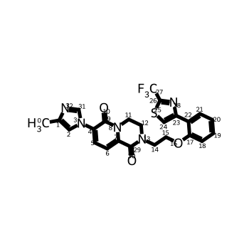 Cc1cn(-c2ccc3n(c2=O)CCN(CCOc2ccccc2-c2csc(C(F)(F)F)n2)C3=O)cn1